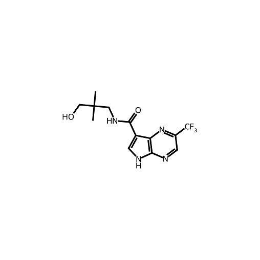 CC(C)(CO)CNC(=O)c1c[nH]c2ncc(C(F)(F)F)nc12